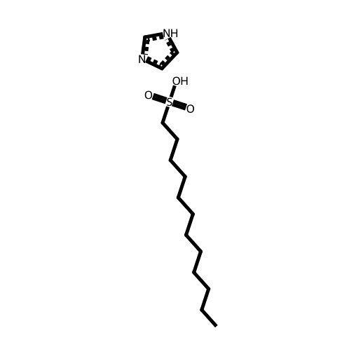 CCCCCCCCCCCCS(=O)(=O)O.c1c[nH]cn1